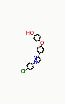 Oc1ccc(Oc2ccc(-c3ccn(-c4ccc(Cl)cc4)n3)cc2)cc1